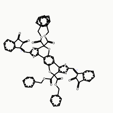 O=C1C(=O)c2ccccc2/C1=C/c1nc2c(s1)-c1cc3c(cc1OC2(C(=O)OCc1ccccc1)C(=O)OCc1ccccc1)-c1sc(/C=C2\C(=O)C(=O)c4ccccc42)nc1C(C(=O)OCc1ccccc1)(C(=O)OCc1ccccc1)O3